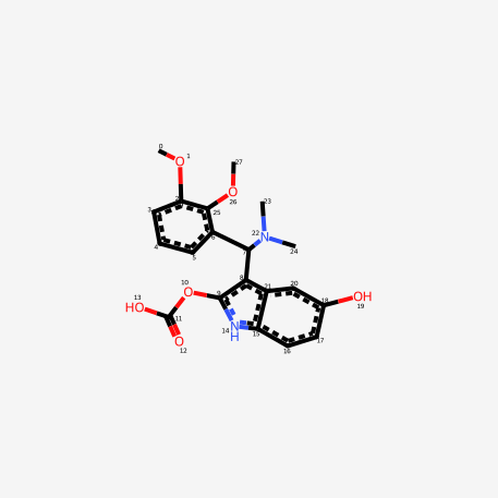 COc1cccc(C(c2c(OC(=O)O)[nH]c3ccc(O)cc23)N(C)C)c1OC